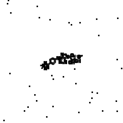 COC[C@H]1O[C@@H](n2cnc3c(Nc4ccc(-c5nnn(C)n5)cc4)ncnc32)[C@H](O)[C@@H]1O